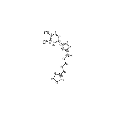 Clc1ccc(-n2ccc(NCCCCN3CCCC3)n2)cc1Cl